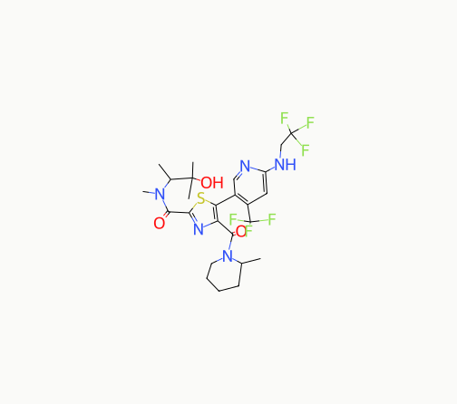 CC1CCCCN1C(=O)c1nc(C(=O)N(C)C(C)C(C)(C)O)sc1-c1cnc(NCC(F)(F)F)cc1C(F)(F)F